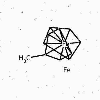 C[C]12[CH]3[CH]4[CH]5[CH]1[Fe]45321678[CH]2[CH]1[CH]6[CH]7[CH]28.[Fe]